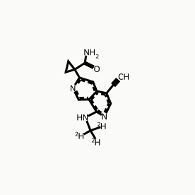 [2H]C([2H])([2H])Nc1ncc(C#C)c2cc(C3(C(N)=O)CC3)ncc12